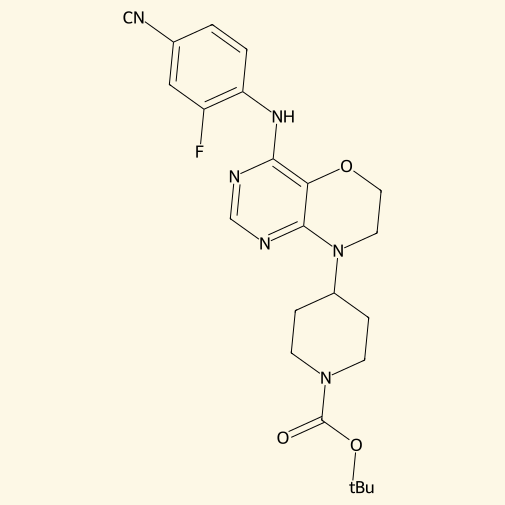 [C-]#[N+]c1ccc(Nc2ncnc3c2OCCN3C2CCN(C(=O)OC(C)(C)C)CC2)c(F)c1